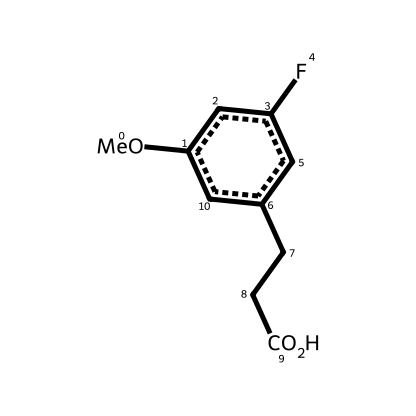 COc1cc(F)cc(CCC(=O)O)c1